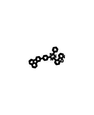 c1ccc(-c2nc(-c3ccc(-c4ccc5c(c4)-c4cccc6cccc-5c46)cc3)nc(-c3cccc4oc5ncccc5c34)n2)cc1